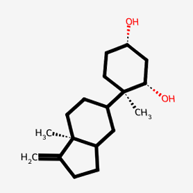 C=C1CCC2CC([C@@]3(C)CC[C@H](O)C[C@@H]3O)CC[C@]12C